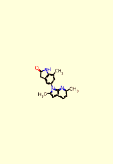 Cc1ccc2cc(C)n(-c3cc(C)c4c(c3)CC(=O)N4)c2n1